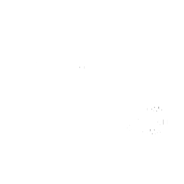 COC(C)(OC)C(=O)CCCCCCOc1ccc(-c2ccccc2)cc1